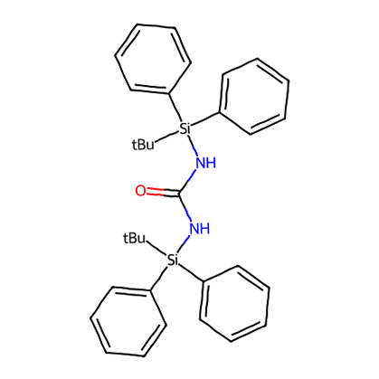 CC(C)(C)[Si](NC(=O)N[Si](c1ccccc1)(c1ccccc1)C(C)(C)C)(c1ccccc1)c1ccccc1